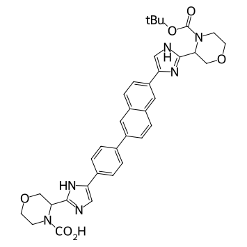 CC(C)(C)OC(=O)N1CCOCC1c1nc(-c2ccc3cc(-c4ccc(-c5cnc(C6COCCN6C(=O)O)[nH]5)cc4)ccc3c2)c[nH]1